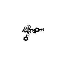 COc1c(Cn2ccc3cc(C#N)ccc32)nc(OCc2ccccc2)c(CC(C)C)[n+]1[O-]